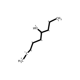 CC[CH]CCC(O)CCC